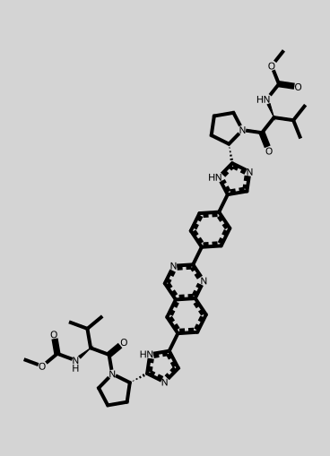 COC(=O)N[C@H](C(=O)N1CCC[C@H]1c1ncc(-c2ccc(-c3ncc4cc(-c5cnc([C@@H]6CCCN6C(=O)[C@@H](NC(=O)OC)C(C)C)[nH]5)ccc4n3)cc2)[nH]1)C(C)C